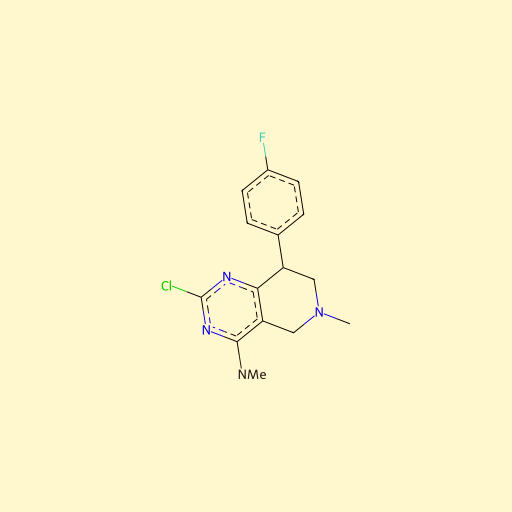 CNc1nc(Cl)nc2c1CN(C)CC2c1ccc(F)cc1